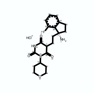 Cl.N[C@@]1(CCC2C(=O)NC(=O)N(C3CCOCC3)C2=O)CCc2cccc(F)c21